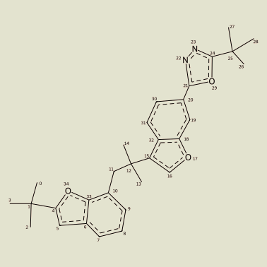 CC(C)(C)c1cc2cccc(CC(C)(C)c3coc4cc(-c5nnc(C(C)(C)C)o5)ccc34)c2o1